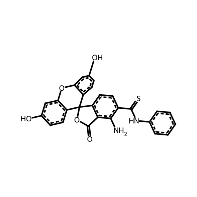 Nc1c(C(=S)Nc2ccccc2)ccc2c1C(=O)OC21c2ccc(O)cc2Oc2cc(O)ccc21